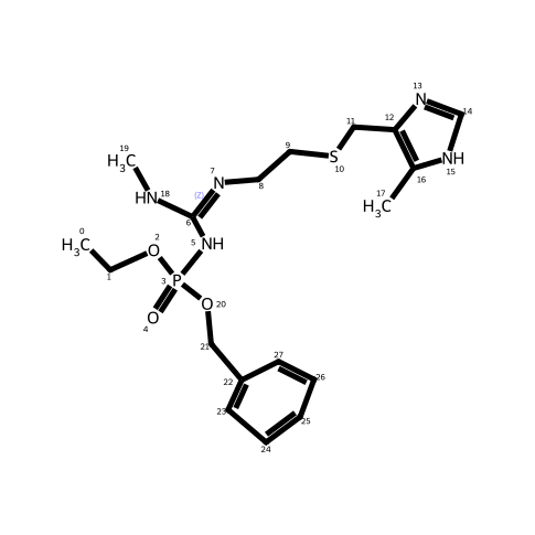 CCOP(=O)(N/C(=N\CCSCc1nc[nH]c1C)NC)OCc1ccccc1